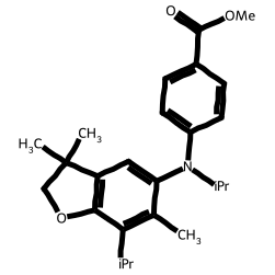 COC(=O)c1ccc(N(c2cc3c(c(C(C)C)c2C)OCC3(C)C)C(C)C)cc1